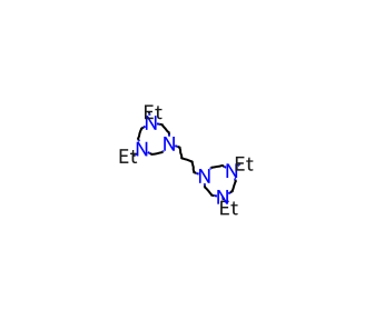 CCN1CCN(CC)CCN(CCCCN2CCN(CC)CCN(CC)CC2)CC1